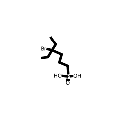 CCC(Br)(CC)CCCP(=O)(O)O